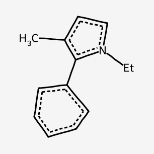 [CH2]Cn1ccc(C)c1-c1ccccc1